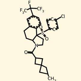 CC1CC2(C1)CC(C(=O)N1CCC3(S(=O)(=O)c4ccc(Cl)cc4)c4ccc(C(F)(C(F)(F)F)C(F)(F)F)cc4CCC13)C2